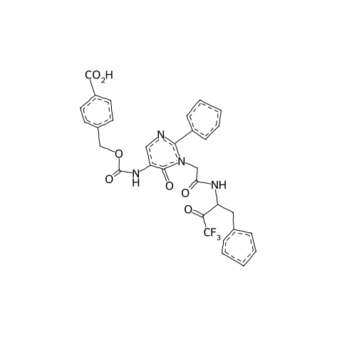 O=C(Cn1c(-c2ccccc2)ncc(NC(=O)OCc2ccc(C(=O)O)cc2)c1=O)NC(Cc1ccccc1)C(=O)C(F)(F)F